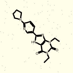 CCn1c(=O)c2[nH]c(-c3ccc(N4CCCC4)nc3)nc2n(CC)c1=O